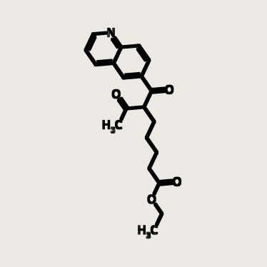 CCOC(=O)CCCCC(C(C)=O)C(=O)c1ccc2ncccc2c1